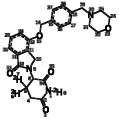 [2H]N1C(=O)CC([2H])([2H])C(N2Cc3c(OCc4ccc(CN5CCOCC5)cc4)cccc3C2=O)C1=O